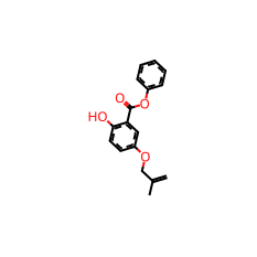 C=C(C)COc1ccc(O)c(C(=O)Oc2ccccc2)c1